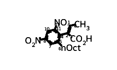 CC=C(C(=O)O)c1c(CCCCCCCC)cc([N+](=O)[O-])cc1[N+](=O)[O-]